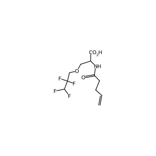 C=CCCC(=O)NC(COCC(F)(F)C(F)F)C(=O)O